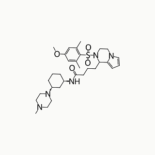 COc1cc(C)c(S(=O)(=O)N2CCn3cccc3C2CCCC(=O)N[C@@H]2CCC[C@H](N3CCN(C)CC3)C2)c(C)c1